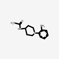 NC(=O)NC1CCN(c2ccccc2N)CC1